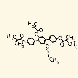 C=CC(=O)Oc1cc(-c2ccc(OC(=O)C(=C)C)cc2)c(OCCCC)cc1-c1ccc(OC(=O)C(=C)C)cc1